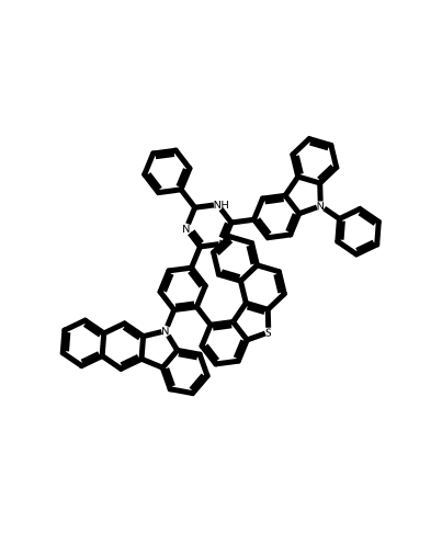 c1ccc(C2N=C(c3ccc(-n4c5ccccc5c5cc6ccccc6cc54)c(-c4cccc5sc6ccc7ccccc7c6c45)c3)N=C(c3ccc4c(c3)c3ccccc3n4-c3ccccc3)N2)cc1